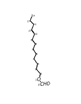 O=[C]OCCCCCCCCCCCCI